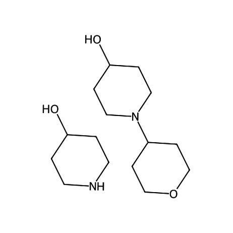 OC1CCN(C2CCOCC2)CC1.OC1CCNCC1